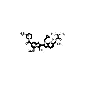 COc1cc(C(=O)N2CCC[C@@H](N)C2)cc2nc(-c3cc4ccc([C@@H](C)NC(=O)N(C)C)nc4n3CC3CC3)c(C)n12